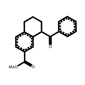 COC(=O)c1ccc2c(c1)C(C(=O)c1ccccc1)CCC2